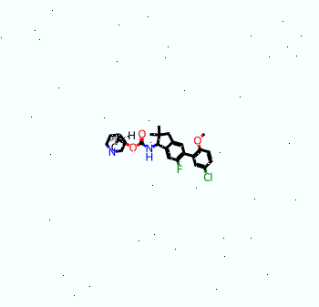 COc1ccc(Cl)cc1-c1cc2c(cc1F)C(NC(=O)O[C@H]1CN3CCC1CC3)C(C)(C)C2